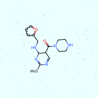 CSC1=NC(NCc2ccco2)C(C(=O)N2CCNCC2)C=N1